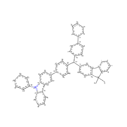 CC1(C)c2ccccc2-c2cc(C(c3ccc(-c4ccccc4)cc3)c3ccc(-c4ccc5c(c4)c4ccccc4n5-c4ccccc4)cc3)ccc21